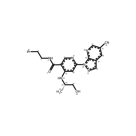 CC(C)CCNC(=O)c1cnc(-n2ncc3cc(C#N)cnc32)cc1N[C@@H](C)CO